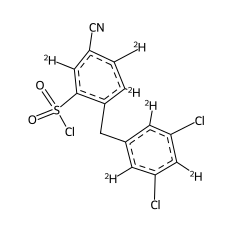 [2H]c1c(Cl)c([2H])c(Cc2c([2H])c([2H])c(C#N)c([2H])c2S(=O)(=O)Cl)c([2H])c1Cl